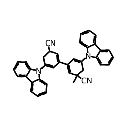 CC1(C#N)C=C(C2=CC(C#N)CC(n3c4ccccc4c4ccccc43)=C2)C=C(n2c3ccccc3c3ccccc32)C1